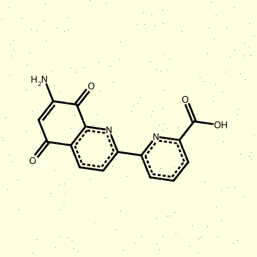 NC1=CC(=O)c2ccc(-c3cccc(C(=O)O)n3)nc2C1=O